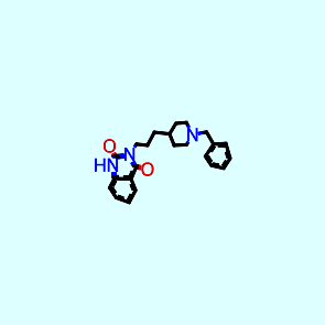 O=c1[nH]c2ccccc2c(=O)n1CCCC1CCN(Cc2ccccc2)CC1